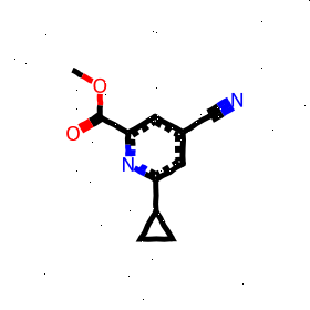 COC(=O)c1cc(C#N)cc(C2CC2)n1